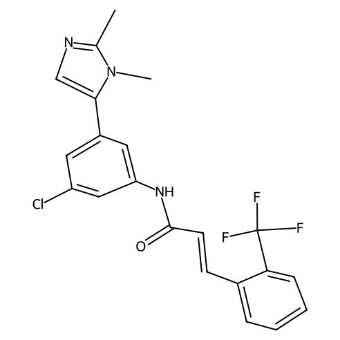 Cc1ncc(-c2cc(Cl)cc(NC(=O)/C=C/c3ccccc3C(F)(F)F)c2)n1C